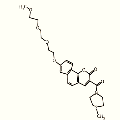 COCCOCCOCCOc1ccc2c(ccc3cc(C(=O)N4CCN(C)CC4)c(=O)oc32)c1